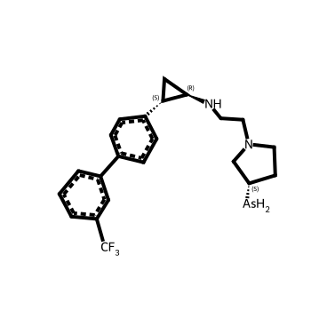 FC(F)(F)c1cccc(-c2ccc([C@@H]3C[C@H]3NCCN3CC[C@H]([AsH2])C3)cc2)c1